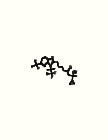 CC(O)(CC(=O)CCCCc1nc2ccc(C(F)(F)F)nc2n1C(C)(C)C(F)(F)F)C1CC1